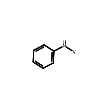 [V][NH]c1ccccc1